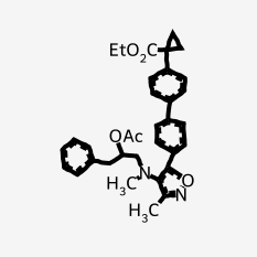 CCOC(=O)C1(c2ccc(-c3ccc(-c4onc(C)c4N(C)CC(Cc4ccccc4)OC(C)=O)cc3)cc2)CC1